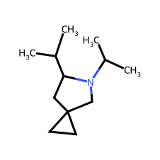 CC(C)C1CC2(CC2)CN1C(C)C